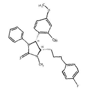 COc1ccc([C@@H]2[C@H](CCCc3ccc(F)cc3)N(C)C(=S)N2c2ccccc2)c(O)c1